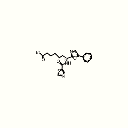 CCC(=O)CCCCC[C@H](NC(=O)c1cncs1)c1ncc(-c2ccccc2)o1